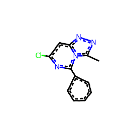 Cc1nnc2cc(Cl)nc(-c3ccccc3)n12